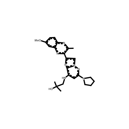 COc1ccc2nc(C)c(-c3cn4nc(N5CCCC5)cc(NCC(C)(C)O)c4n3)nc2c1